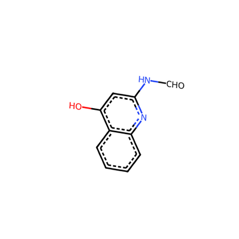 O=CNc1cc(O)c2ccccc2n1